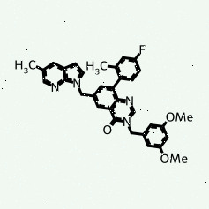 COc1cc(Cn2cnc3c(-c4ccc(F)cc4C)cc(Cn4ccc5cc(C)cnc54)cc3c2=O)cc(OC)c1